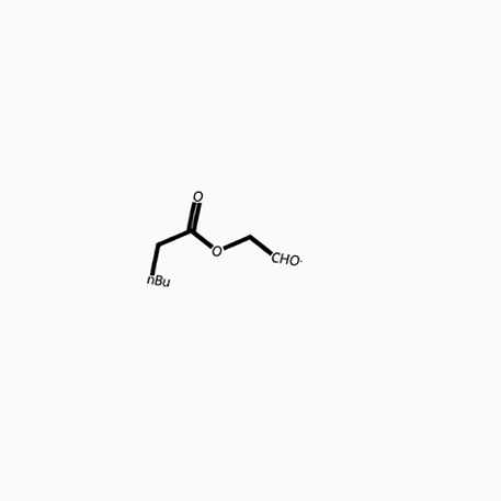 CCCCCC(=O)OC[C]=O